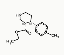 CCOC(=O)[C@@H]1CNCC[C@@H]1c1ccc(C)cc1